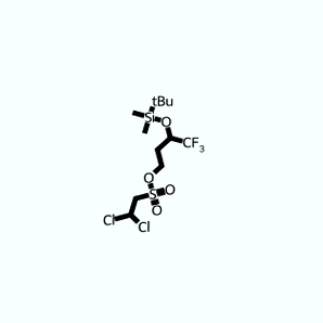 CC(C)(C)[Si](C)(C)OC(CCOS(=O)(=O)CC(Cl)Cl)C(F)(F)F